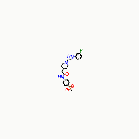 CS(=O)(=O)c1ccc(NC(=O)CC2CCN(CCNc3cccc(F)c3)CC2)cc1